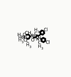 Cc1cc(Cl)ccc1-n1nc(C(=O)NC2CC(C)(C)N(O)C(C)(C)C2)c(C)c1-c1ccc(Cl)cc1